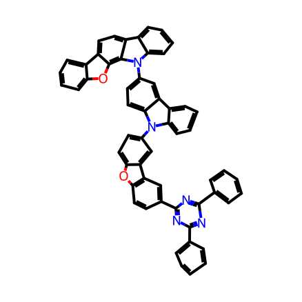 c1ccc(-c2nc(-c3ccccc3)nc(-c3ccc4oc5ccc(-n6c7ccccc7c7cc(-n8c9ccccc9c9ccc%10c%11ccccc%11oc%10c98)ccc76)cc5c4c3)n2)cc1